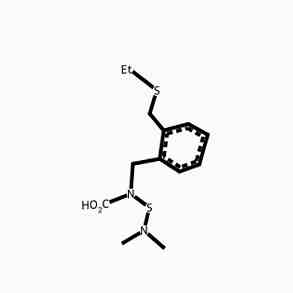 CCSCc1ccccc1CN(SN(C)C)C(=O)O